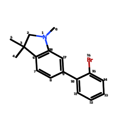 CN1CC(C)(C)c2ccc(-c3ccccc3Br)cc21